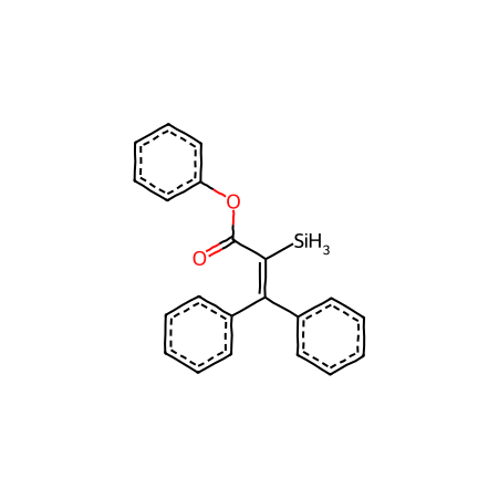 O=C(Oc1ccccc1)C([SiH3])=C(c1ccccc1)c1ccccc1